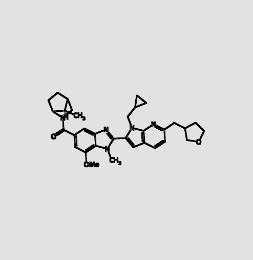 COc1cc(C(=O)N2CC3CCC2[C@@H]3C)cc2nc(-c3cc4ccc(CC5CCOC5)nc4n3CC3CC3)n(C)c12